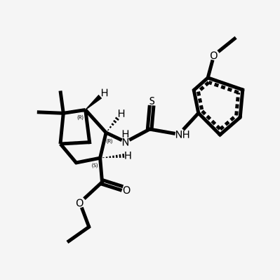 CCOC(=O)[C@H]1CC2C[C@@H]([C@H]1NC(=S)Nc1cccc(OC)c1)C2(C)C